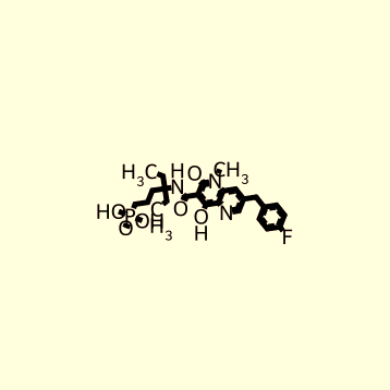 CCC(CC)(CCCP(=O)(O)O)NC(=O)c1c(O)c2ncc(Cc3ccc(F)cc3)cc2n(C)c1=O